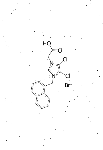 O=C(O)Cn1c[n+](Cc2cccc3ccccc23)c(Cl)c1Cl.[Br-]